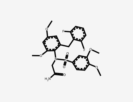 COc1cc(Cc2c(F)cccc2F)c(N(CC(N)=O)S(=O)(=O)c2ccc(OC)c(OC)c2)c(OC)c1